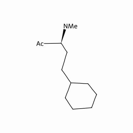 CN[C@@H](CCC1CCCCC1)C(C)=O